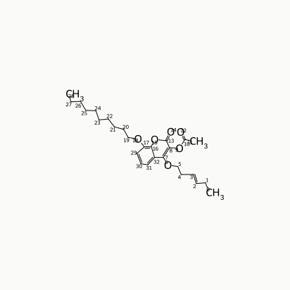 CC/C=C/CCOc1c(OC(C)=O)c(=O)oc2c(OCCCCCCCCCC)cccc12